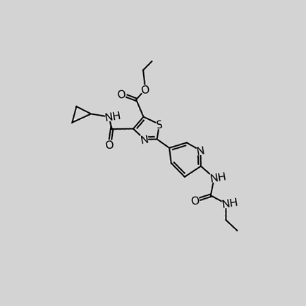 CCNC(=O)Nc1ccc(-c2nc(C(=O)NC3CC3)c(C(=O)OCC)s2)cn1